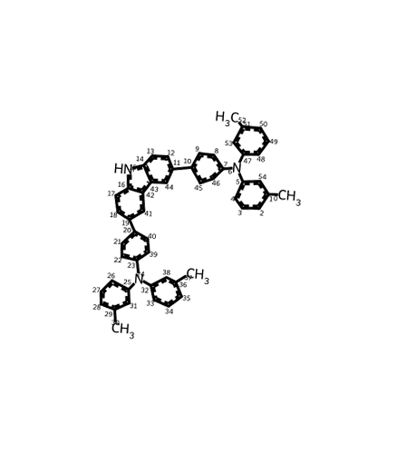 Cc1cccc(N(c2ccc(-c3ccc4[nH]c5ccc(-c6ccc(N(c7cccc(C)c7)c7cccc(C)c7)cc6)cc5c4c3)cc2)c2cccc(C)c2)c1